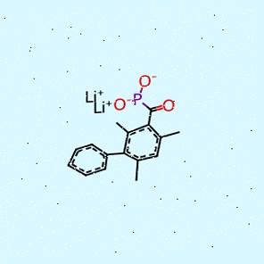 Cc1cc(C)c(-c2ccccc2)c(C)c1C(=O)P([O-])[O-].[Li+].[Li+]